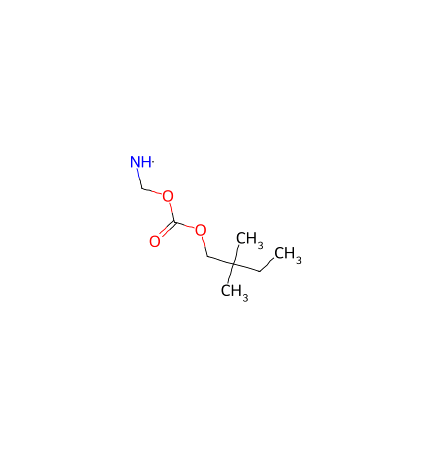 CCC(C)(C)COC(=O)OC[NH]